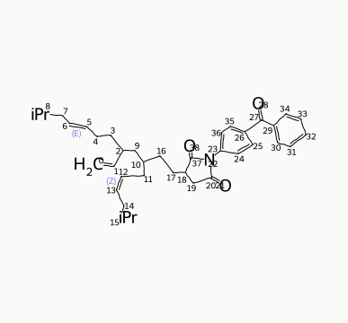 C=CC(CC/C=C/CC(C)C)CC(C/C=C\CC(C)C)CCC1CC(=O)N(c2ccc(C(=O)c3ccccc3)cc2)C1=O